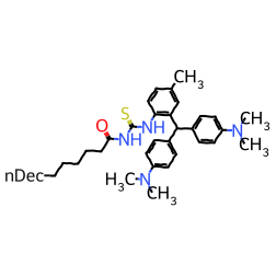 CCCCCCCCCCCCCCCC(=O)NC(=S)Nc1ccc(C)cc1C(c1ccc(N(C)C)cc1)c1ccc(N(C)C)cc1